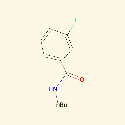 CCCCNC(=O)c1cccc(F)c1